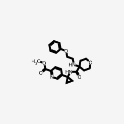 COC(=O)c1ccc(C2(NC(=O)C3(NCCOc4ccccc4)CCOCC3)CC2)cn1